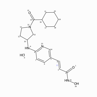 Cl.O=C(/C=C/c1ccc(NC2CCN(C(=O)C3CCCCC3)C2)nc1)NO